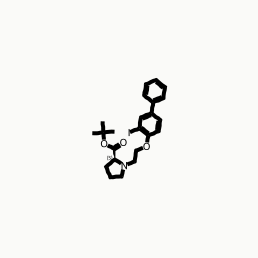 CC(C)(C)OC(=O)[C@@H]1CCCN1CCOc1ccc(-c2ccccc2)cc1I